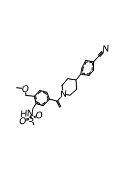 C=C(c1ccc(COC)c(NS(C)(=O)=O)c1)N1CCC(c2ccc(C#N)cc2)CC1